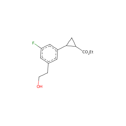 CCOC(=O)C1CC1c1cc(F)cc(CCO)c1